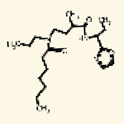 CCCCCCC(=O)N(CCC)CCC(C)C(=O)NC(CC)c1nccs1